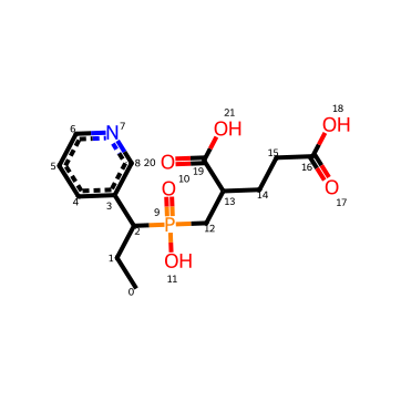 CCC(c1cccnc1)P(=O)(O)CC(CCC(=O)O)C(=O)O